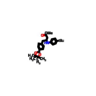 COC(=O)CC(Cc1ccc(B2OC(C)(C)C(C)(C)O2)cc1)Nc1ccc(C(C)(C)C)cc1